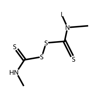 CNC(=S)SSC(=S)N(C)I